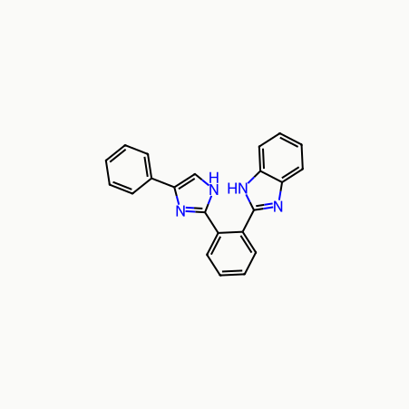 c1ccc(-c2c[nH]c(-c3ccccc3-c3nc4ccccc4[nH]3)n2)cc1